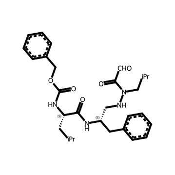 CC(C)C[C@H](NC(=O)OCc1ccccc1)C(=O)N[C@H](CNN(CC(C)C)C(=O)C=O)Cc1ccccc1